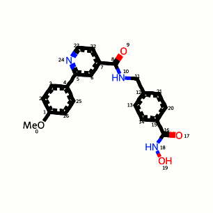 COc1ccc(-c2cc(C(=O)NCc3ccc(C(=O)NO)cc3)ccn2)cc1